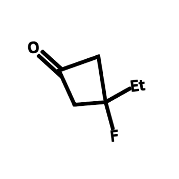 CCC1(F)CC(=O)C1